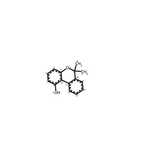 CC1(C)Oc2cccc(O)c2-c2ccccc21